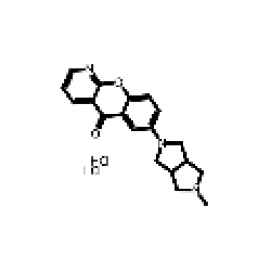 CN1CC2CN(c3ccc4oc5ncccc5c(=O)c4c3)CC2C1.Cl.Cl